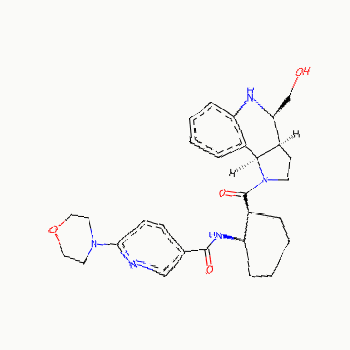 O=C(N[C@@H]1CCCC[C@@H]1C(=O)N1CC[C@@H]2[C@H](CO)Nc3ccccc3[C@@H]21)c1ccc(N2CCOCC2)nc1